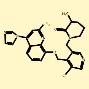 Cc1cc(-n2ccnc2)c2cccc(OCc3c(Cl)cncc3CN3CCCC(C)C3=O)c2n1